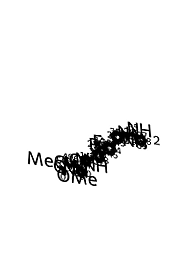 COC(=O)N[C@H](C(=O)N1CCC[C@H]1c1ncc(-c2ccc3c(c2)C(F)(F)c2cc(-c4ccc5nc([C@@H](N)C6CCCC6)[nH]c5c4)ccc2-3)[nH]1)[C@@H](C)OC